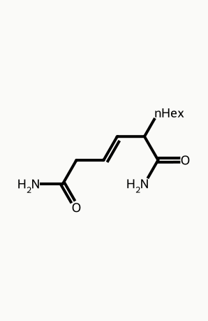 CCCCCCC(C=CCC(N)=O)C(N)=O